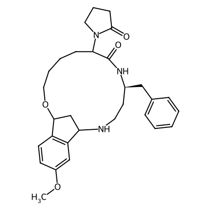 COc1ccc2c(c1)C1CC2OCCCCC(N2CCCC2=O)C(=O)N[C@@H](Cc2ccccc2)CCN1